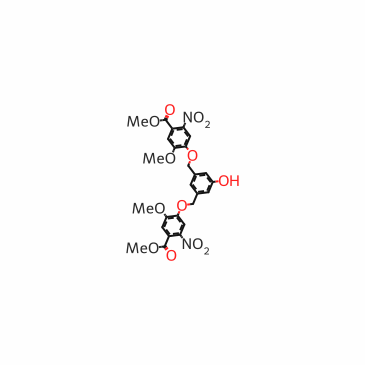 COC(=O)c1cc(OC)c(OCc2cc(O)cc(COc3cc([N+](=O)[O-])c(C(=O)OC)cc3OC)c2)cc1[N+](=O)[O-]